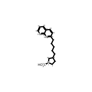 O=C(O)N1CCC(CCCCCc2ccc3cccnc3n2)C1